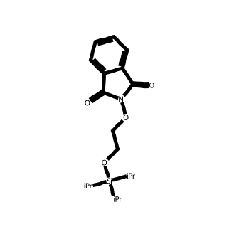 CC(C)[Si](OCCON1C(=O)c2ccccc2C1=O)(C(C)C)C(C)C